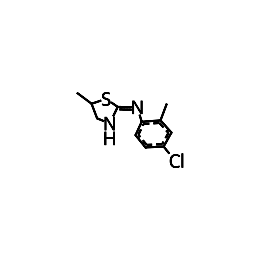 Cc1cc(Cl)ccc1N=C1NCC(C)S1